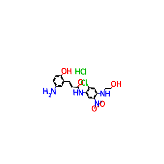 Cl.Nc1ccc(O)c(/C=C/C(=O)Nc2cc([N+](=O)[O-])c(NCCO)cc2Cl)c1